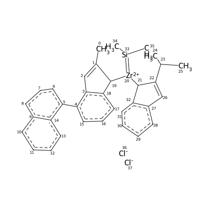 CC1=Cc2c(-c3cccc4ccccc34)cccc2[CH]1[Zr+2]([CH]1C(C(C)C)=Cc2ccccc21)=[Si](C)C.[Cl-].[Cl-]